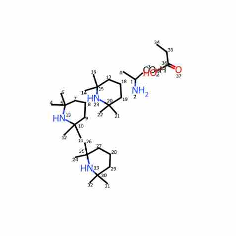 CC(N)C(=O)O.CC1(C)CCCC(C)(C)N1.CC1(C)CCCC(C)(C)N1.CC1(C)CCCC(C)(C)N1.CCC(=O)O